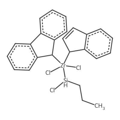 CCC[SiH](Cl)[Zr]([Cl])([Cl])([CH]1C=Cc2ccccc21)[CH]1c2ccccc2-c2ccccc21